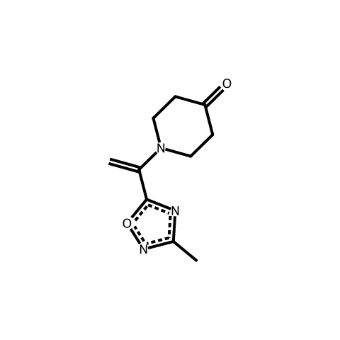 C=C(c1nc(C)no1)N1CCC(=O)CC1